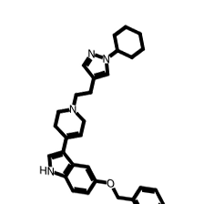 C1=C(c2c[nH]c3ccc(OCc4ccccc4)cc23)CCN(CCc2cnn(C3CCCCC3)c2)C1